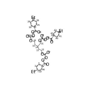 CCc1ccc(C(=O)OOC(=O)OCCC(CCOC(=O)OOC(=O)c2ccc(CC)cc2)COC(=O)OOC(=O)c2ccc(CC)cc2)cc1